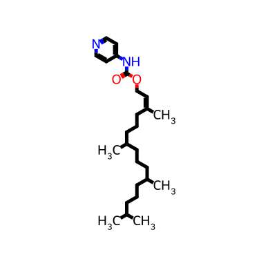 CC(=CCOC(=O)Nc1ccncc1)CCCC(C)CCCC(C)CCCC(C)C